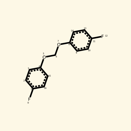 Fc1ccc(OCOc2ccc(F)cc2)cc1